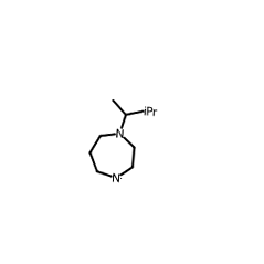 CC(C)C(C)N1CCC[N]CC1